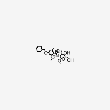 COc1cc(OCc2ccccc2)cc(C)c1C(=O)N[C@H]1[C@@H](OC)O[C@H](CO)[C@@H](O)[C@@H]1O